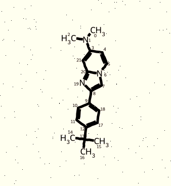 CN(C)c1ccn2cc(-c3ccc(C(C)(C)C)cc3)nc2c1